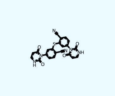 N#Cc1ccc(-n2c(=O)cc[nH]c2=O)cc1Sc1cc(-n2c(=O)cc[nH]c2=O)ccc1C#N